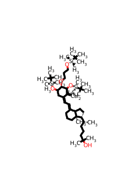 C=C1/C(=C\C=C2/CCC[C@@]3(C)C2CC[C@@H]3[C@H](C)CCCC(C)(C)O)CC(O[Si](C)(C)C(C)(C)C)[C@@H](OCCCO[Si](C)(C)C(C)(C)C)C1O[Si](C)(C)C(C)(C)C